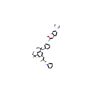 CCN(CC)c1ccc2cc(-c3nc4cc(CC5(C)CCN6CCC(C)(C)c7c8c(cc5c76)C=C(c5nc6ccccc6s5)C(O)O8)ccc4s3)c(=O)oc2c1